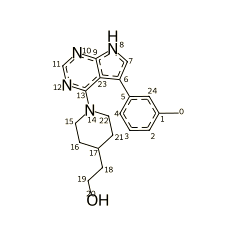 Cc1cccc(-c2c[nH]c3ncnc(N4CCC(CCO)CC4)c23)c1